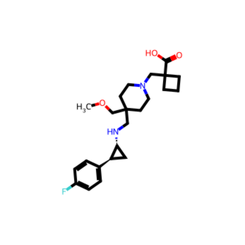 COCC1(CN[C@@H]2C[C@H]2c2ccc(F)cc2)CCN(CC2(C(=O)O)CCC2)CC1